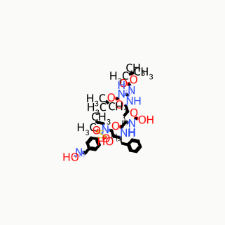 CC(C)CN(C[C@@H](O)[C@H](Cc1ccccc1)NC(=O)[C@H](CCCN/C(=N/C(=O)OC(C)(C)C)NC(=O)OC(C)(C)C)NC(=O)O)S(=O)(=O)c1ccc(/C=N/O)cc1